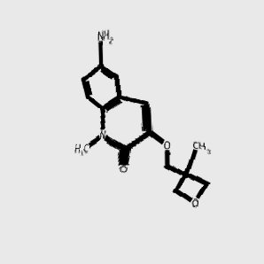 Cn1c(=O)c(OCC2(C)COC2)cc2cc(N)ccc21